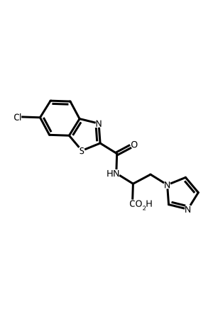 O=C(NC(Cn1ccnc1)C(=O)O)c1nc2ccc(Cl)cc2s1